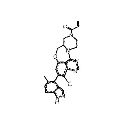 C=CC(=O)N1CCN2c3ncnc4c(Cl)c(-c5c(C)ccc6[nH]ncc56)cc(c34)OCC2C1